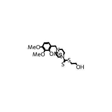 COc1ccc(CN2CCN(C(=S)SCCO)CC2)c(OC)c1OC